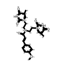 COc1ccc(/C=C/C(=O)N(CCn2cc(C)c(=O)[nH]c2=O)CCn2cc(C)c(=O)[nH]c2=O)cc1